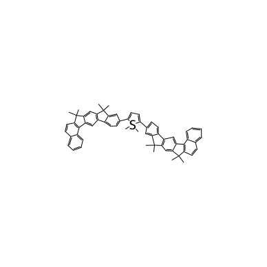 CC1(C)c2cc(C3=CC=C(c4ccc5c(c4)C(C)(C)c4cc6c(cc4-5)-c4c(ccc5ccccc45)C6(C)C)S3(C)C)ccc2-c2cc3c(cc21)C(C)(C)c1ccc2ccccc2c1-3